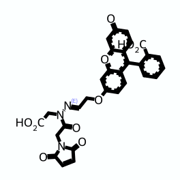 O=C(O)CN(/N=C/COc1ccc2c(-c3ccccc3C(=O)O)c3ccc(=O)cc-3oc2c1)C(=O)CN1C(=O)C=CC1=O